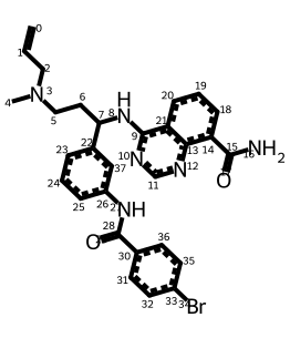 C=CCN(C)CCC(Nc1ncnc2c(C(N)=O)cccc12)c1cccc(NC(=O)c2ccc(Br)cc2)c1